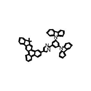 CC1(C)c2ccccc2-c2cc3c4ccccc4c4ccc(-c5cnc(-c6cc(-n7c8ccccc8c8ccccc87)cc(-n7c8ccccc8c8ccccc87)c6)nc5)cc4c3cc21